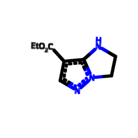 CCOC(=O)c1cnn2c1NCC2